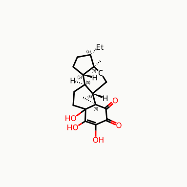 CC[C@H]1CC[C@H]2[C@@H]3CCC4(O)C(O)=C(O)C(=O)C(=O)[C@]4(C)[C@H]3CC[C@]12C